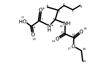 CCCC(C)C(NC(=O)C(=O)O)NC(=O)C(=O)OCC